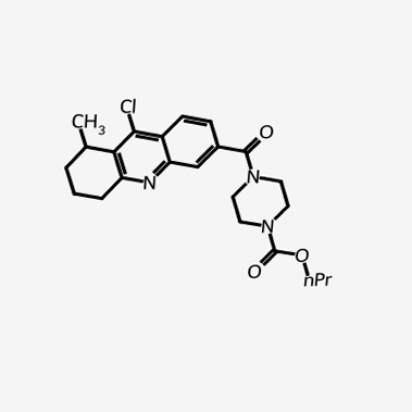 CCCOC(=O)N1CCN(C(=O)c2ccc3c(Cl)c4c(nc3c2)CCCC4C)CC1